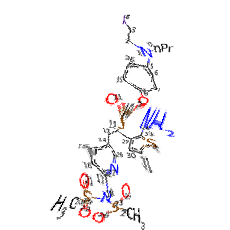 CCCN(CCI)c1ccc(OS(=O)C(Cc2ccc(N(S(C)(=O)=O)S(C)(=O)=O)nc2)c2ccsc2N)cc1